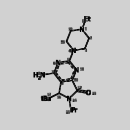 CCN1CCN(c2nc(N)c3c(n2)C(=O)N(C(C)C)C3C(C)(C)C)CC1